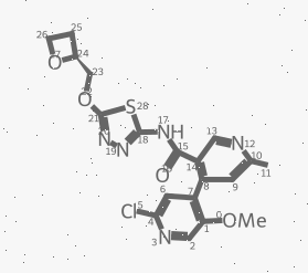 COc1cnc(Cl)cc1-c1cc(C)ncc1C(=O)Nc1nnc(OC[C@@H]2CCO2)s1